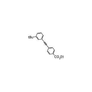 CCOC(=O)c1ccc(C#Cc2cccc(C(C)(C)C)c2)cc1